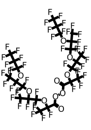 O=C(OOC(=O)C(F)(OC(F)(F)C(F)(OC(F)(F)C(F)(OC(F)(F)C(F)(F)C(F)(F)F)C(F)(F)F)C(F)(F)F)C(F)(F)F)C(F)(OC(F)(F)C(F)(OC(F)(F)C(F)(OC(F)(F)C(F)(F)C(F)(F)F)C(F)(F)F)C(F)(F)F)C(F)(F)F